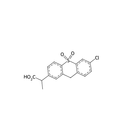 CC(C(=O)O)c1ccc2c(c1)Cc1ccc(Cl)cc1S2(=O)=O